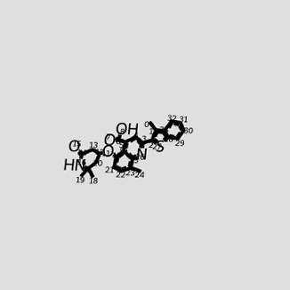 Cc1c(-c2cc(C(=O)O)c3c(OC4CC(=O)NC(C)(C)C4)ccc(C)c3n2)sc2ccccc12